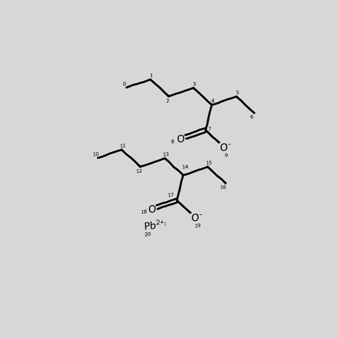 CCCCC(CC)C(=O)[O-].CCCCC(CC)C(=O)[O-].[Pb+2]